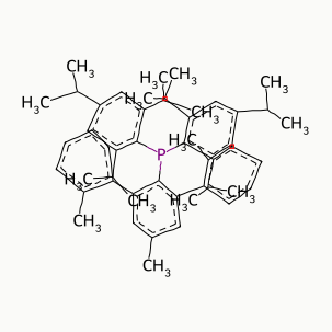 Cc1cc(-c2ccccc2C)c(P(c2c(C(C)C)cc(C(C)C)cc2C(C)C)c2c(C(C)C)cc(C(C)C)cc2C(C)C)c(-c2ccccc2C)c1